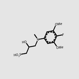 COc1cc(N(C)CC(O)CS(=O)(=O)O)cc(OC)c1F